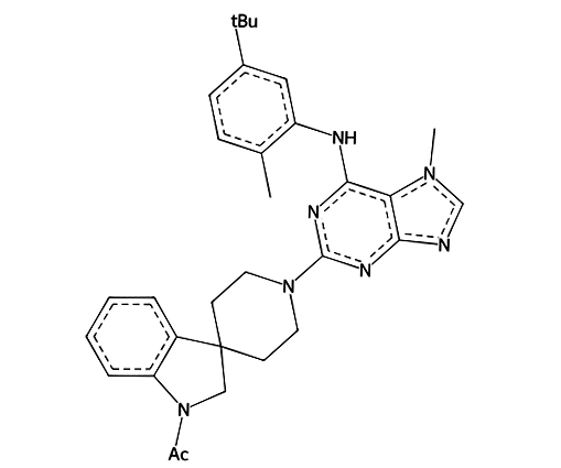 CC(=O)N1CC2(CCN(c3nc(Nc4cc(C(C)(C)C)ccc4C)c4c(ncn4C)n3)CC2)c2ccccc21